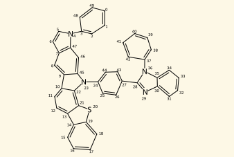 c1ccc(-n2ccc3cc4c5ccc6c7ccccc7sc6c5n(-c5ccc(-c6nc7ccccc7n6-c6ccccc6)cc5)c4cc32)cc1